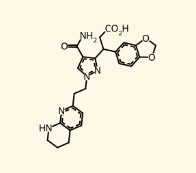 NC(=O)c1cn(CCc2ccc3c(n2)NCCC3)nc1C(CC(=O)O)c1ccc2c(c1)OCO2